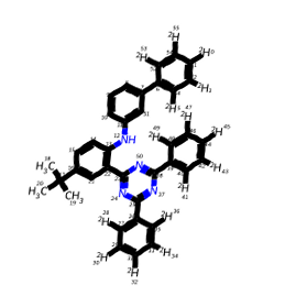 [2H]c1c([2H])c([2H])c(-c2cccc(Nc3ccc(C(C)(C)C)cc3-c3nc(-c4c([2H])c([2H])c([2H])c([2H])c4[2H])nc(-c4c([2H])c([2H])c([2H])c([2H])c4[2H])n3)c2)c([2H])c1[2H]